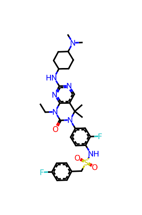 CCN1C(=O)N(c2ccc(NS(=O)(=O)Cc3ccc(F)cc3)c(F)c2)C(C)(C)c2cnc(NC3CCC(N(C)C)CC3)nc21